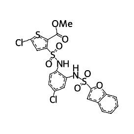 COC(=O)c1sc(Cl)cc1S(=O)(=O)Nc1ccc(Cl)cc1NS(=O)(=O)c1cc2ccccc2o1